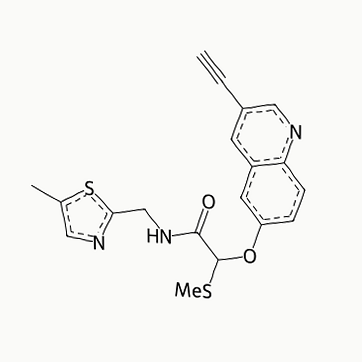 C#Cc1cnc2ccc(OC(SC)C(=O)NCc3ncc(C)s3)cc2c1